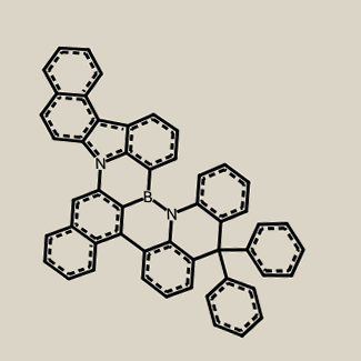 c1ccc(C2(c3ccccc3)c3ccccc3N3B4c5c(cc6ccccc6c5-c5cccc2c53)-n2c3ccc5ccccc5c3c3cccc4c32)cc1